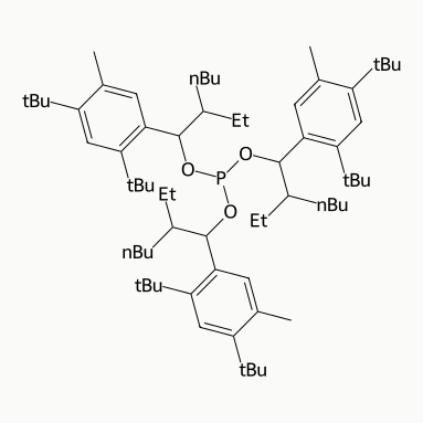 CCCCC(CC)C(OP(OC(c1cc(C)c(C(C)(C)C)cc1C(C)(C)C)C(CC)CCCC)OC(c1cc(C)c(C(C)(C)C)cc1C(C)(C)C)C(CC)CCCC)c1cc(C)c(C(C)(C)C)cc1C(C)(C)C